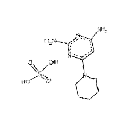 Nc1cc(N2CCCCC2)nc(N)n1.O=S(=O)(O)O